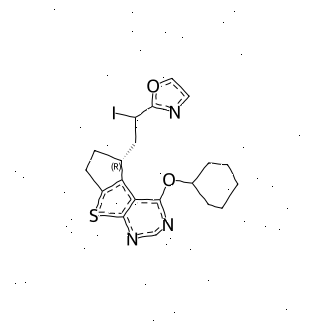 IC(C[C@H]1CCc2sc3ncnc(OC4CCCCC4)c3c21)c1ncco1